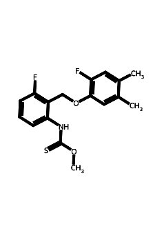 COC(=S)Nc1cccc(F)c1COc1cc(C)c(C)cc1F